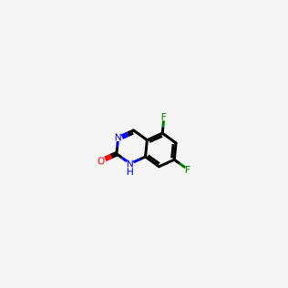 O=c1ncc2c(F)cc(F)cc2[nH]1